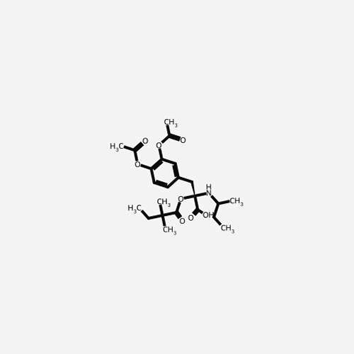 CCC(C)N[C@@](Cc1ccc(OC(C)=O)c(OC(C)=O)c1)(OC(=O)C(C)(C)CC)C(=O)O